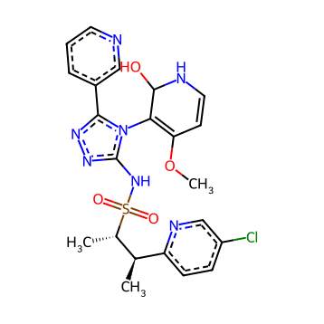 COC1=C(n2c(NS(=O)(=O)[C@@H](C)[C@H](C)c3ccc(Cl)cn3)nnc2-c2cccnc2)C(O)NC=C1